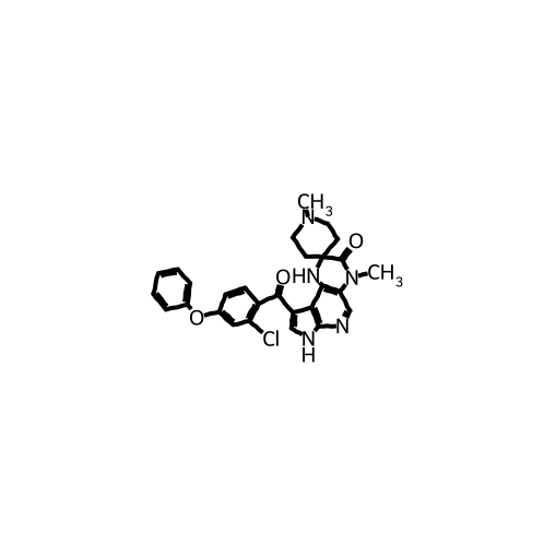 CN1CCC2(CC1)Nc1c(cnc3[nH]cc(C(=O)c4ccc(Oc5ccccc5)cc4Cl)c13)N(C)C2=O